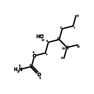 CCCC(CCOC(N)=O)N(C)C.Cl